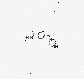 CC(N)c1ccc(CN2CCNCC2)cc1